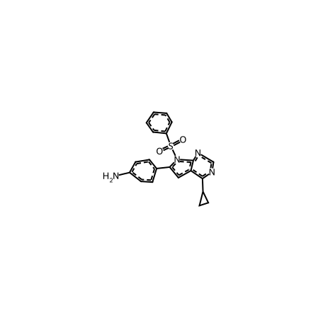 Nc1ccc(-c2cc3c(C4CC4)ncnc3n2S(=O)(=O)c2ccccc2)cc1